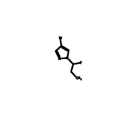 CCC(F)n1cc(Br)cn1